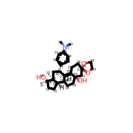 CN(C)c1ccc([C@H]2C[C@@]3(C)[C@H](CC[C@@]3(C)O)[C@@H]3CC[C@@]4(O)CC5(CCC4=C32)OCCO5)cc1